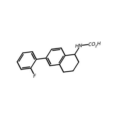 O=C(O)NC1CCCc2cc(-c3ccccc3F)ccc21